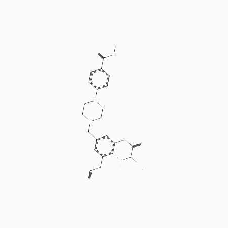 C=CCc1cc(CN2CCN(c3ccc(C(=O)NCC)cc3)CC2)cc2c1OC(C)C(=O)N2